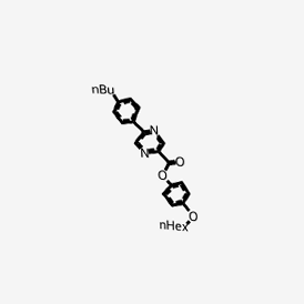 CCCCCCOc1ccc(OC(=O)c2cnc(-c3ccc(CCCC)cc3)cn2)cc1